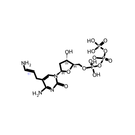 N/C=C/Cc1cn([C@H]2C[C@H](O)[C@@H](COP(=O)(O)OP(=O)(O)OP(=O)(O)O)O2)c(=O)nc1N